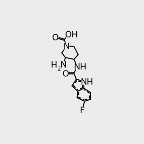 NC1CN(C(=O)O)CCC1NC(=O)c1cc2cc(F)ccc2[nH]1